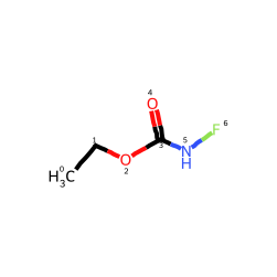 CCOC(=O)NF